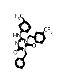 O=c1nc(Nc2cccc(C(F)(F)F)c2)n(Cc2cccc(C(F)(F)F)c2)c(=O)n1Cc1ccccc1